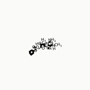 CNc1nc(N)nc2c1ncn2[C@@H]1O[C@H](CO[P](=O)Oc2ccccc2)[C@@H](O)[C@@]1(C)F